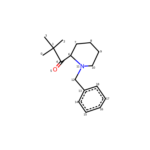 CC(C)(C)C(=O)C1CCCCN1Cc1ccccc1